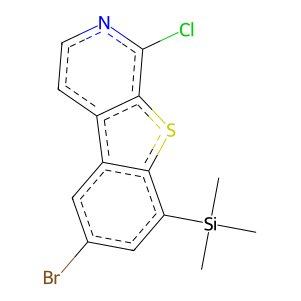 C[Si](C)(C)c1cc(Br)cc2c1sc1c(Cl)nccc12